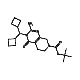 CC(C)(C)OC(=O)N1CCc2c(nc(N)n(C(C3CCC3)C3CCC3)c2=O)C1